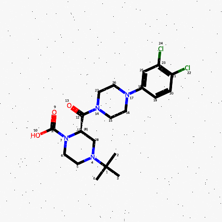 CC(C)(C)N1CCN(C(=O)O)[C@@H](C(=O)N2CCN(c3ccc(Cl)c(Cl)c3)CC2)C1